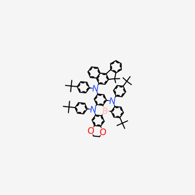 CC(C)(C)c1ccc(N2c3ccc(C(C)(C)C)cc3B3c4cc5c(cc4N(c4ccc(C(C)(C)C)cc4)c4cc(N(c6ccc(C(C)(C)C)cc6)c6cc7c(c8ccccc68)-c6ccccc6C7(C)C)cc2c43)OCCO5)cc1